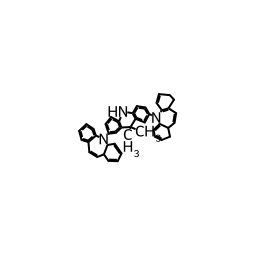 CC1(C)c2cc(N3C4=CC=CCC4C=CC4=C3C=CCC4)ccc2Nc2ccc(N3c4ccccc4C=CC4C=CC=CC43)cc21